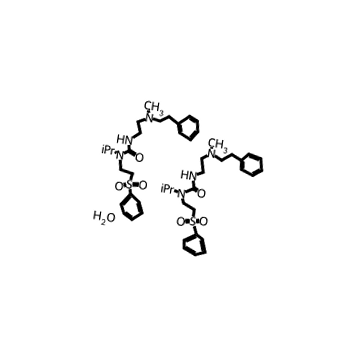 CC(C)N(CCS(=O)(=O)c1ccccc1)C(=O)NCCN(C)CCc1ccccc1.CC(C)N(CCS(=O)(=O)c1ccccc1)C(=O)NCCN(C)CCc1ccccc1.O